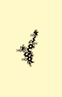 Cc1c2cc(C(F)(F)F)c(-c3cccn4c(C(=O)c5cc(F)c(NC(=O)/C=C/CNC6(C)COC6)c(F)c5)ccc34)c(O)c2nn1C.O=C(O)C(F)(F)F